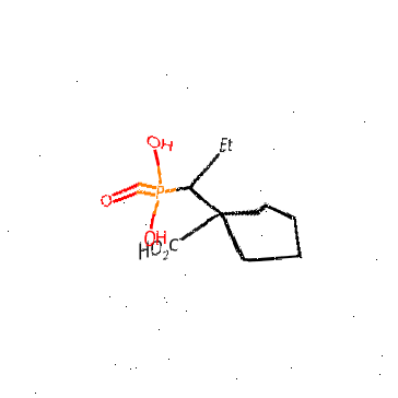 CCC(C1(C(=O)O)CCCC1)P(=O)(O)O